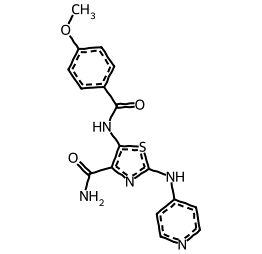 COc1ccc(C(=O)Nc2sc(Nc3ccncc3)nc2C(N)=O)cc1